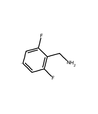 NCc1c(F)c[c]cc1F